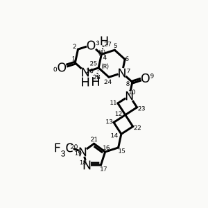 O=C1CO[C@H]2CCN(C(=O)N3CC4(CC(Cc5cnn(C(F)(F)F)c5)C4)C3)C[C@H]2N1